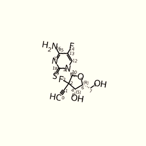 C#CC1(F)[C@@H](O)[C@@H](CO)O[C@H]1n1cc(F)c(N)nc1=S